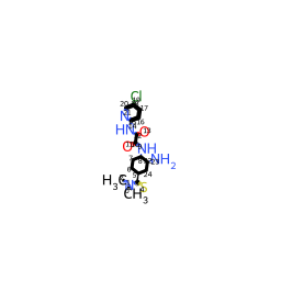 CN(C)C(=S)[C@H]1CC[C@H](NC(=O)C(=O)Nc2ccc(Cl)cn2)[C@H](N)C1